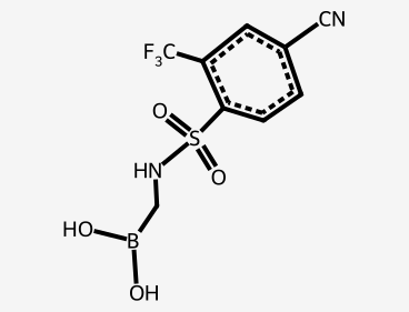 N#Cc1ccc(S(=O)(=O)NCB(O)O)c(C(F)(F)F)c1